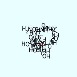 CCC(C)C1NC(=O)CNC(=O)C2Cc3c([nH]c4cc(O)ccc34)[S@+]([O-])C[C@H](NC(=O)CNC1=O)C(=O)N[C@@H](CC(N)=O)C(=O)N1CC(O)C[C@H]1C(=O)NC([C@@H](C)[C@@H](O)CO)C(=O)N2